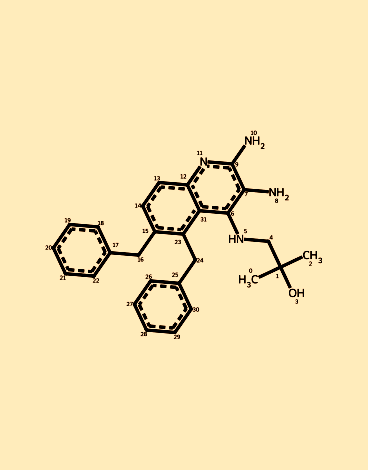 CC(C)(O)CNc1c(N)c(N)nc2ccc(Cc3ccccc3)c(Cc3ccccc3)c12